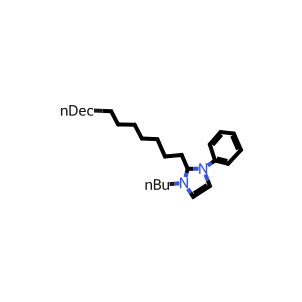 CCCCCCCCCCCCCCCCCC1N(CCCC)C=CN1c1ccccc1